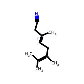 CC(C)=C(C)C/C=C(\C)CC#N